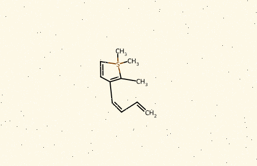 C=C/C=C\C1=C(C)S(C)(C)C=C1